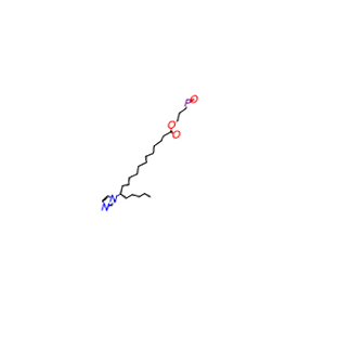 CCCCCC(CCCCCCCCCCCC(=O)OCCCP=O)n1ccnc1